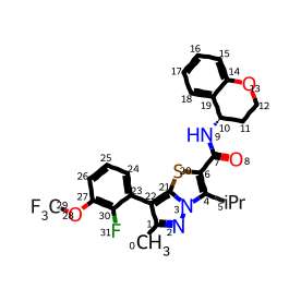 Cc1nn2c(C(C)C)c(C(=O)N[C@H]3CCOc4ccccc43)sc2c1-c1cccc(OC(F)(F)F)c1F